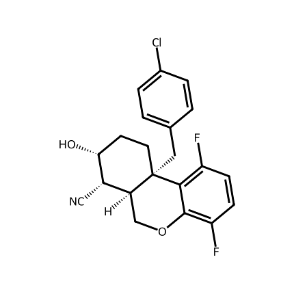 N#C[C@@H]1[C@H](O)CC[C@@]2(Cc3ccc(Cl)cc3)c3c(F)ccc(F)c3OC[C@@H]12